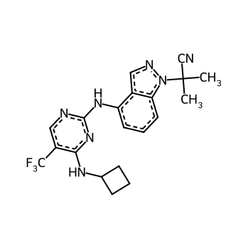 CC(C)(C#N)n1ncc2c(Nc3ncc(C(F)(F)F)c(NC4CCC4)n3)cccc21